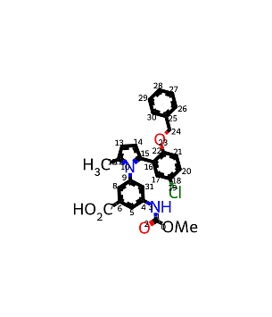 COC(=O)Nc1cc(C(=O)O)cc(-n2c(C)ccc2-c2cc(Cl)ccc2OCc2ccccc2)c1